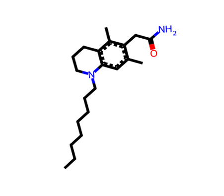 CCCCCCCCN1CCCc2c1cc(C)c(CC(N)=O)c2C